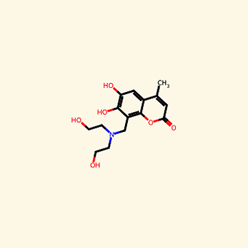 Cc1cc(=O)oc2c(CN(CCO)CCO)c(O)c(O)cc12